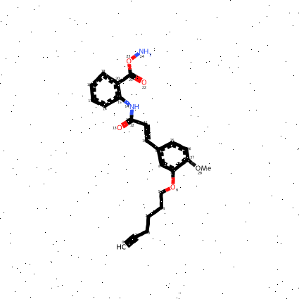 C#CCCCCOc1cc(/C=C/C(=O)Nc2ccccc2C(=O)ON)ccc1OC